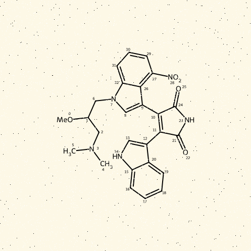 COC(CN(C)C)Cn1cc(C2=C(c3c[nH]c4ccccc34)C(=O)NC2=O)c2c([N+](=O)[O-])cccc21